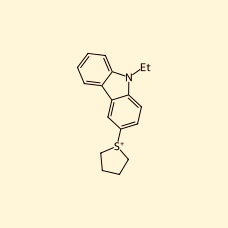 CCn1c2ccccc2c2cc([S+]3CCCC3)ccc21